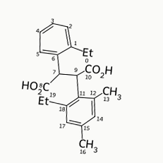 CCc1ccccc1C(C(=O)O)C(C(=O)O)c1c(C)cc(C)cc1CC